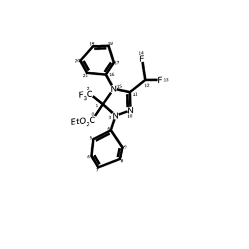 CCOC(=O)C1(C(F)(F)F)N(c2ccccc2)N=C(C(F)F)N1c1ccccc1